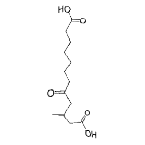 CC(CC(=O)O)CC(=O)CCCCCCC(=O)O